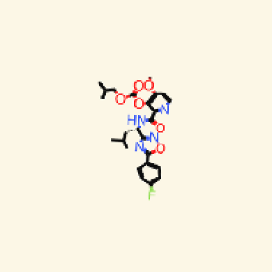 COc1ccnc(C(=O)N[C@@H](CC(C)C)c2noc(-c3ccc(F)cc3)n2)c1OC(=O)OCC(C)C